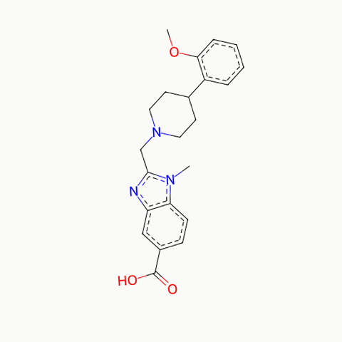 COc1ccccc1C1CCN(Cc2nc3cc(C(=O)O)ccc3n2C)CC1